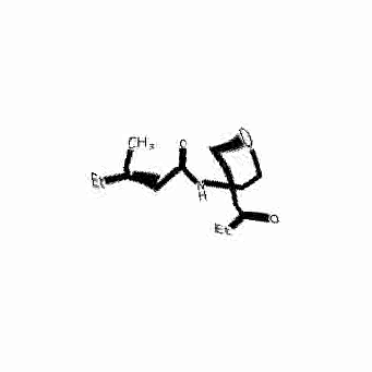 CCC(=O)C1(NC(=O)/C=C(\C)CC)COC1